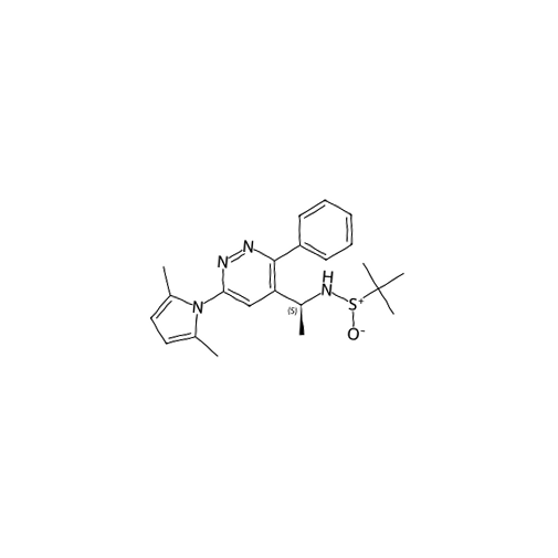 Cc1ccc(C)n1-c1cc([C@H](C)N[S+]([O-])C(C)(C)C)c(-c2ccccc2)nn1